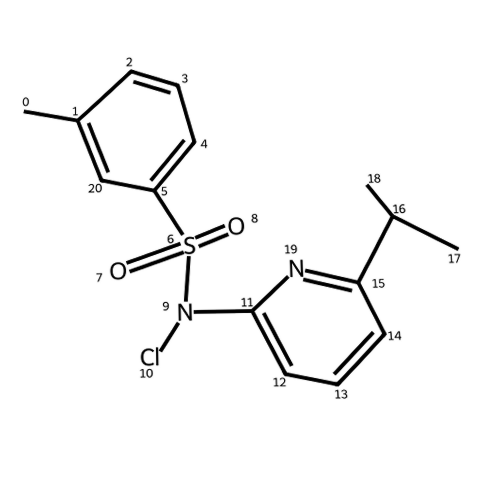 Cc1cccc(S(=O)(=O)N(Cl)c2cccc(C(C)C)n2)c1